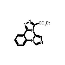 CCOC(=O)c1nnc2c3ccccc3n3cncc3n12